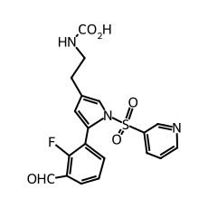 O=Cc1cccc(-c2cc(CCNC(=O)O)cn2S(=O)(=O)c2cccnc2)c1F